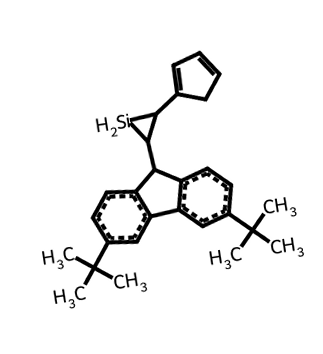 CC(C)(C)c1ccc2c(c1)-c1cc(C(C)(C)C)ccc1C2C1[SiH2]C1C1=CC=CC1